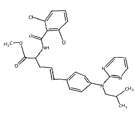 COC(=O)C(C/C=C/c1ccc(N(CC(C)C)c2ncccn2)cc1)NC(=O)c1c(Cl)cccc1Cl